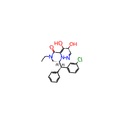 CCN1C[C@@H]([C@H](c2ccccc2)c2cccc(Cl)c2)N2N=CC(O)C(O)=C2C1=O